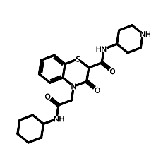 O=C(CN1C(=O)C(C(=O)NC2CCNCC2)Sc2ccccc21)NC1CCCCC1